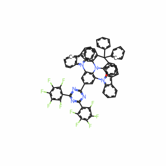 Fc1c(F)c(F)c(-c2nc(-c3cc(-n4c5ccccc5c5ccccc54)c(N4c5ccccc5C(c5ccccc5)(c5ccccc5)c5ccccc54)c(-n4c5ccccc5c5ccccc54)c3)nc(-c3c(F)c(F)c(F)c(F)c3F)n2)c(F)c1F